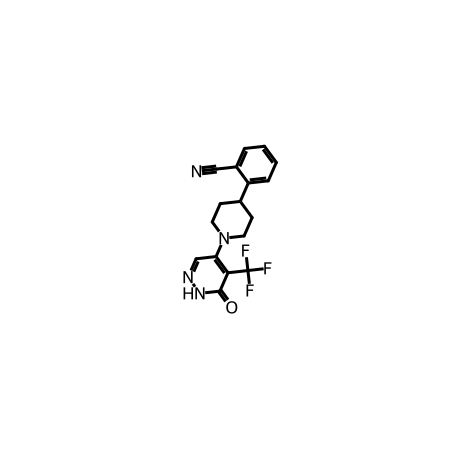 N#Cc1ccccc1C1CCN(c2cn[nH]c(=O)c2C(F)(F)F)CC1